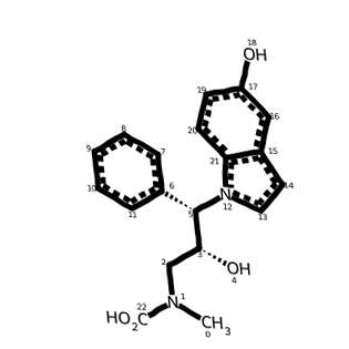 CN(C[C@@H](O)[C@H](c1ccccc1)n1ccc2cc(O)ccc21)C(=O)O